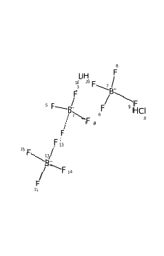 Cl.F[B-](F)(F)F.F[B-](F)(F)F.F[B-](F)(F)F.[LiH]